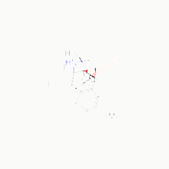 COc1ccc2c(c1)[C@]13CCN[C@H](C2)C1(OC)[C@H](C)CC(=O)C3.Cl